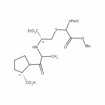 CCCCCC(SC[C@H](NC(C)C(=O)N1CCC[C@H]1C(=O)O)C(=O)OCC)C(=O)OC(C)(C)C